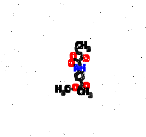 CCOC(C)C(=O)c1ccc(NC=C2C(=O)C=C(CC)OC2=O)cc1